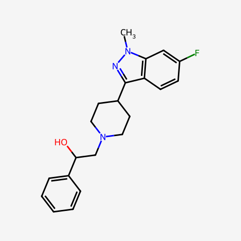 Cn1nc(C2CCN(CC(O)c3ccccc3)CC2)c2ccc(F)cc21